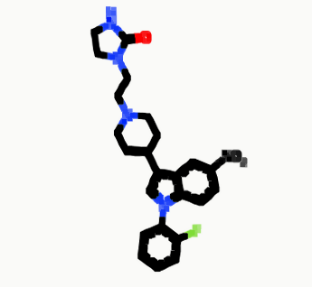 O=C1NCCN1CCN1CC=C(c2cn(-c3ccccc3F)c3ccc([N+](=O)[O-])cc23)CC1